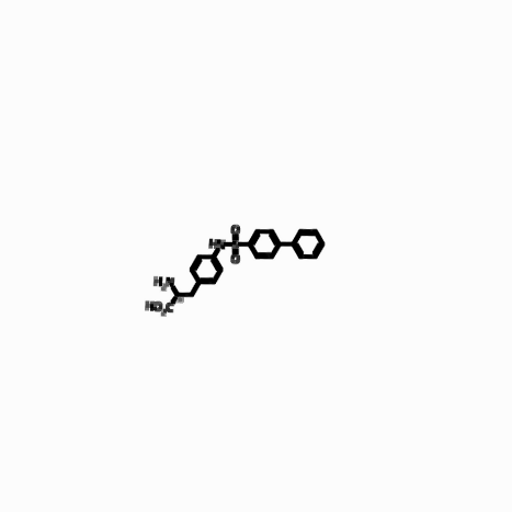 N[C@@H](Cc1ccc(NS(=O)(=O)c2ccc(-c3ccccc3)cc2)cc1)C(=O)O